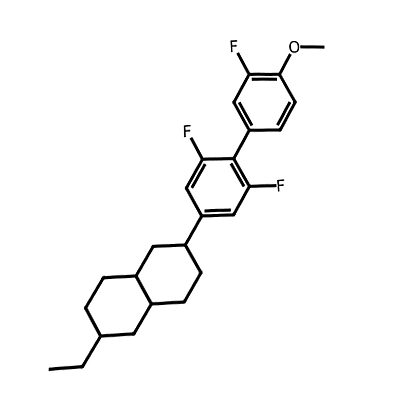 CCC1CCC2CC(c3cc(F)c(-c4ccc(OC)c(F)c4)c(F)c3)CCC2C1